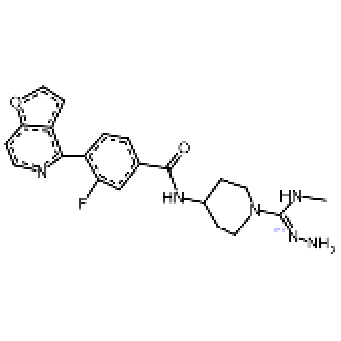 CN/C(=N\N)N1CCC(NC(=O)c2ccc(-c3nccc4occc34)c(F)c2)CC1